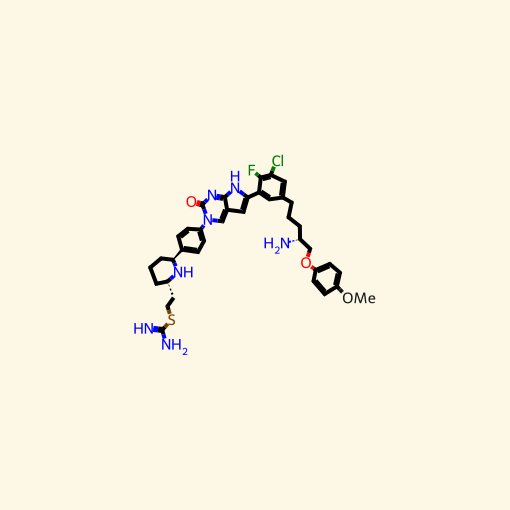 COc1ccc(OC[C@H](N)CCCc2cc(Cl)c(F)c(-c3cc4cn(-c5ccc([C@@H]6CCC[C@@H](CCSC(=N)N)N6)cc5)c(=O)nc4[nH]3)c2)cc1